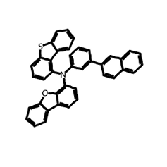 c1cc(-c2ccc3ccccc3c2)cc(N(c2cccc3c2oc2ccccc23)c2cccc3sc4ccccc4c23)c1